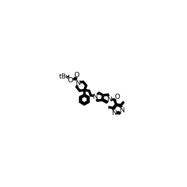 Cc1ncnc(C)c1C(=O)N1C=C2CN(CCC3(c4ccccc4)CCN(C(=O)OC(C)(C)C)CC3)CC2C1